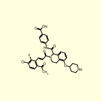 CC(=O)c1ccc(Cl)c(F)c1/C=C/C(=O)N1CCc2c(OC3CCNCC3)cccc2C1C(=O)Nc1ccc(C(=O)O)cc1